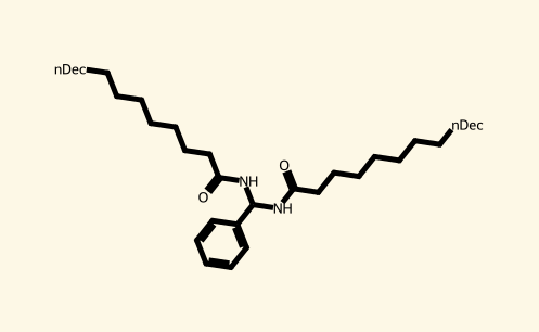 CCCCCCCCCCCCCCCCCC(=O)NC(NC(=O)CCCCCCCCCCCCCCCCC)c1ccccc1